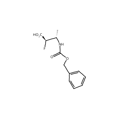 C[C@H](NC(=O)OCc1ccccc1)[C@@H](F)C(=O)O